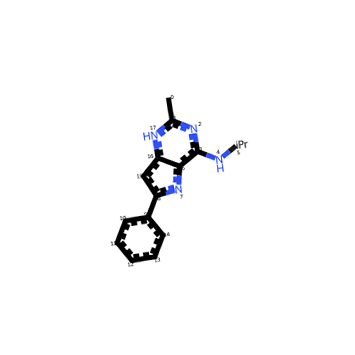 Cc1nc(NC(C)C)c2nc(-c3ccccc3)cc-2[nH]1